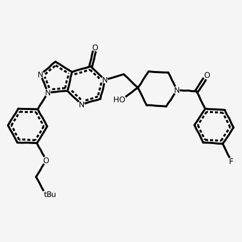 CC(C)(C)COc1cccc(-n2ncc3c(=O)n(CC4(O)CCN(C(=O)c5ccc(F)cc5)CC4)cnc32)c1